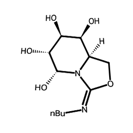 CCCC/N=C1/OC[C@@H]2[C@H](O)[C@H](O)[C@@H](O)[C@@H](O)N12